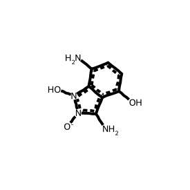 Nc1ccc(O)c2c(N)[n+]([O-])n(O)c12